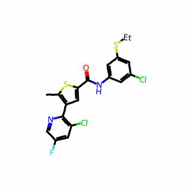 CCSc1cc(Cl)cc(NC(=O)c2cc(-c3ncc(F)cc3Cl)c(C)s2)c1